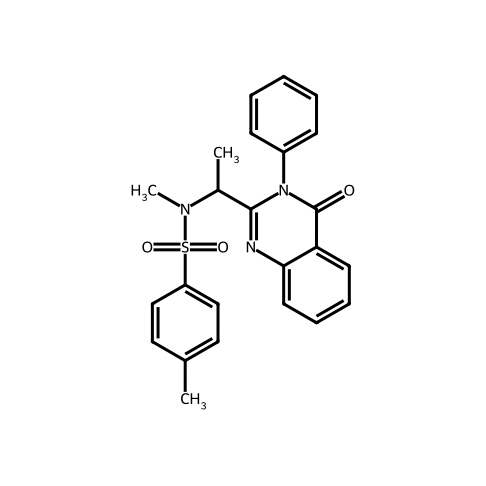 Cc1ccc(S(=O)(=O)N(C)C(C)c2nc3ccccc3c(=O)n2-c2ccccc2)cc1